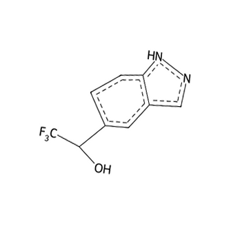 OC(c1ccc2[nH]ncc2c1)C(F)(F)F